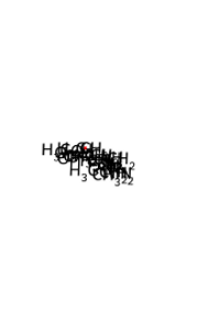 C=C1C[C@]2(C(=N)N(CCN)C(=C)c3ccc(C#N)cn3)CC[C@]3(C)C(CC[C@H]4C3(C)CC[C@H]3C(C)(C)C(OC(=O)CC(C)(C)C(=O)O)CC[C@@]34C)C2=C1C(C)C